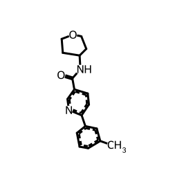 Cc1cccc(-c2ccc(C(=O)NC3CCOCC3)cn2)c1